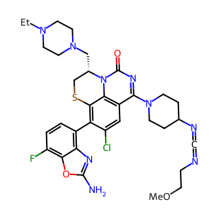 CCN1CCN(C[C@H]2CSc3c(-c4ccc(F)c5oc(N)nc45)c(Cl)cc4c(N5CCC(N=C=NCCOC)CC5)nc(=O)n2c34)CC1